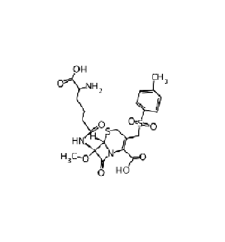 CO[C@@]1(NC(=O)CCCC(N)C(=O)O)C(=O)N2C(C(=O)O)=C(CS(=O)(=O)c3ccc(C)cc3)CS[C@H]21